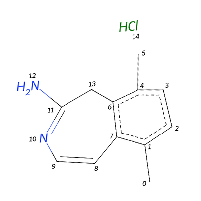 Cc1ccc(C)c2c1C=CN=C(N)C2.Cl